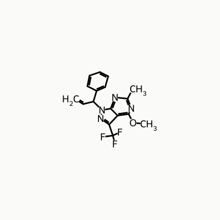 C=CC(c1ccccc1)n1nc(C(F)(F)F)c2c(OC)nc(C)nc21